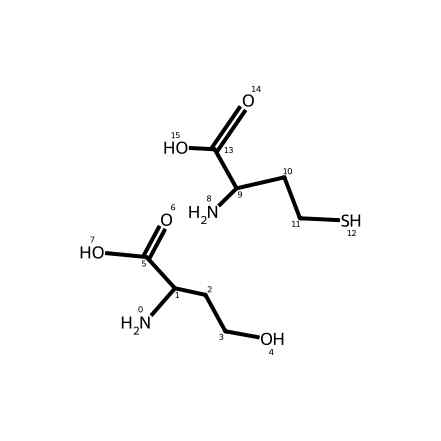 NC(CCO)C(=O)O.NC(CCS)C(=O)O